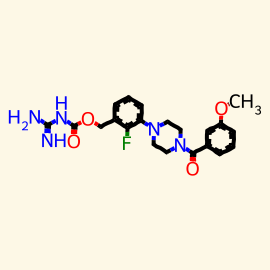 COc1cccc(C(=O)N2CCN(c3cccc(COC(=O)NC(=N)N)c3F)CC2)c1